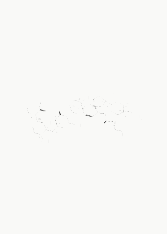 CCC(C(=O)[C@@H](C)[C@@H](O)[C@H](C)[C@@H]1O[C@@H]([C@@H](CC)C(=O)O)CC[C@@H]1C)[C@H]1O[C@]2(C=CC(NC(=O)NCCCl)[C@]3(CC[C@@](C)([C@H]4CC[C@](O)(CC)[C@H](C)O4)O3)O2)[C@H](C)C[C@@H]1C